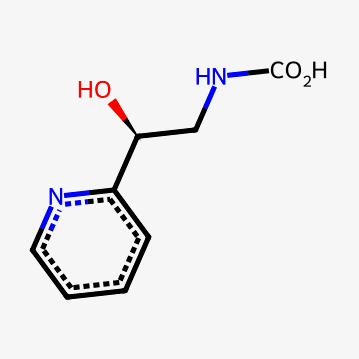 O=C(O)NC[C@H](O)c1ccccn1